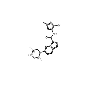 C[C@@H]1CN(c2ccc3ccc(C(=O)Nc4cn(C)nc4Br)n3n2)[C@H](C)CN1